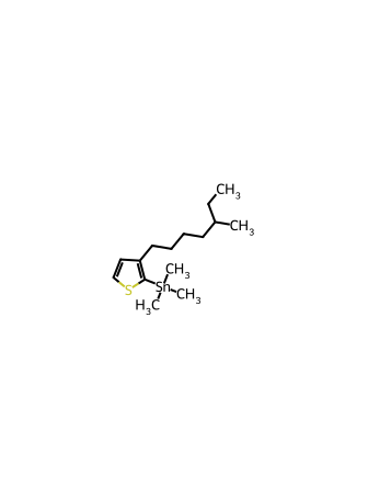 CCC(C)CCCCc1ccs[c]1[Sn]([CH3])([CH3])[CH3]